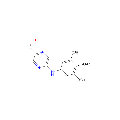 CC(=O)Oc1c(C(C)(C)C)cc(Nc2cnc(CO)cn2)cc1C(C)(C)C